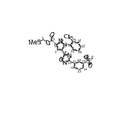 CSCOC(=O)c1cc(-c2nc(-c3cccc(S(C)(=O)=O)c3)no2)n(-c2ccccc2Cl)n1